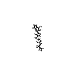 Cc1c(C(=O)N2CCC3(CC2)CC3C(=O)N2CCC2)cnn1-c1nn2cccc2c(=O)[nH]1